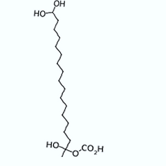 CC(O)(CCCCCCCCCCCCCCCC(O)O)OC(=O)O